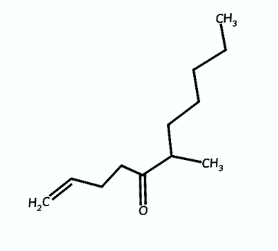 C=CCCC(=O)C(C)CCCCC